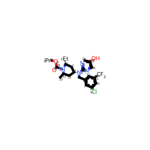 CC[C@@H]1C[C@H](N(Cc2cc(Cl)cc(C(F)(F)F)c2)c2ncc(O)cn2)CC(C)N1C(=O)OC(C)C